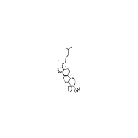 CCC1(CC)C2CCC3=C(CC[C@@]4(C)C3=CC[C@@H]4[C@H](C)CCCC(C)C)[C@@]2(C)CC[C@@H]1O